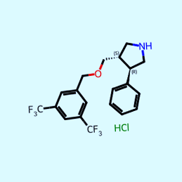 Cl.FC(F)(F)c1cc(COC[C@@H]2CNC[C@H]2c2ccccc2)cc(C(F)(F)F)c1